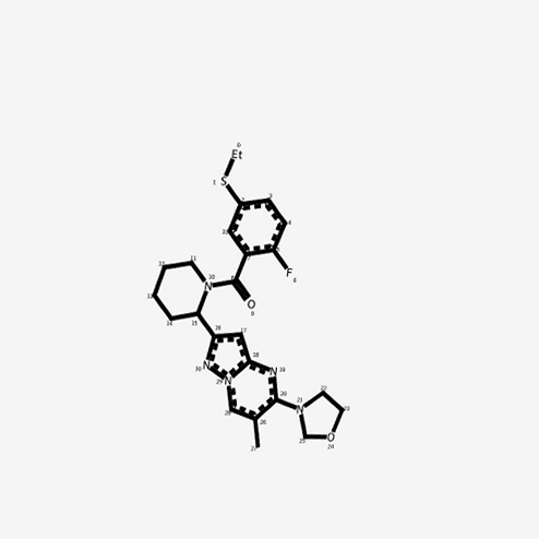 CCSc1ccc(F)c(C(=O)N2CCCCC2c2cc3nc(N4CCOC4)c(C)cn3n2)c1